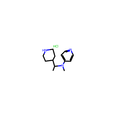 CC(C1CCNCC1)N(C)c1ccncc1.Cl